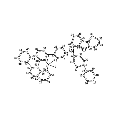 CC1(C)c2c(-c3ccc(N(c4ccc(-c5ccccc5)cc4)c4cccc5c4oc4ccccc45)cc3)cccc2-c2c(-c3ccccc3)ccc3cccc1c23